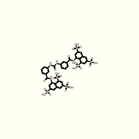 O=C(Nc1cccc(C(=O)Nc2cc(S(=O)(=O)O)cc3cc(S(=O)(=O)O)cc(S(=O)(=O)O)c23)c1)Nc1cccc(C(=O)Nc2cc(S(=O)(=O)O)cc3cc(S(=O)(=O)O)cc(S(=O)(=O)O)c23)c1